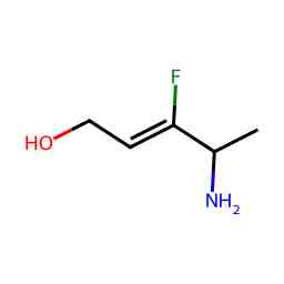 CC(N)C(F)=CCO